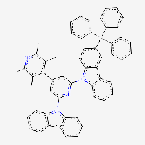 Cc1nc(C)c(C)c(-c2cc(-n3c4ccccc4c4ccccc43)nc(-n3c4ccccc4c4cc([Si](c5ccccc5)(c5ccccc5)c5ccccc5)ccc43)c2)c1C